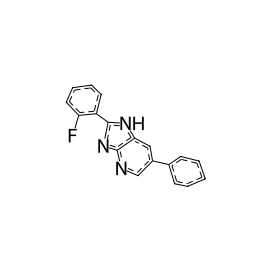 Fc1ccccc1-c1nc2ncc(-c3ccccc3)cc2[nH]1